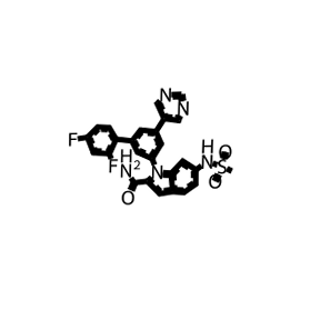 CS(=O)(=O)Nc1ccc2cc(C(N)=O)n(-c3cc(-c4cncnc4)cc(-c4ccc(F)cc4F)c3)c2c1